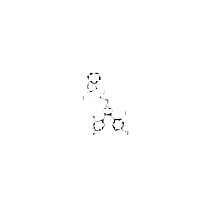 O=C(Cn1nc(-c2ccc(Cl)cc2Cl)c(-c2ccc(Cl)cc2Cl)n1)N[C@H]1c2ccccc2C[C@H]1O